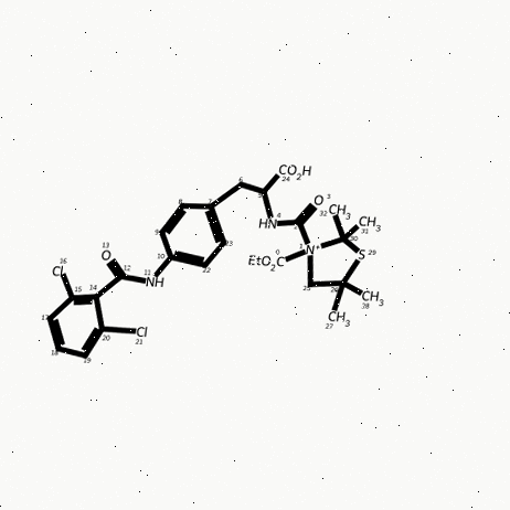 CCOC(=O)[N+]1(C(=O)NC(Cc2ccc(NC(=O)c3c(Cl)cccc3Cl)cc2)C(=O)O)CC(C)(C)SC1(C)C